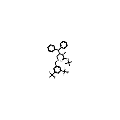 CN(C(=O)OC(C)(C)C)C(COCc1cc(C(F)(F)F)cc(C(F)(F)F)c1)C(c1ccccc1)c1ccccc1